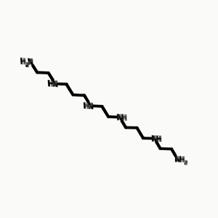 NCCNCCCNCCNCCCNCCN